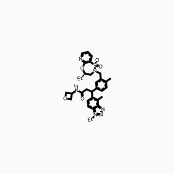 CC[C@@H]1CN(Cc2cc(C(CC(=O)NC3COC3)c3ccc4c(nnn4CC)c3C)ccc2C)S(=O)(=O)c2cccnc2O1